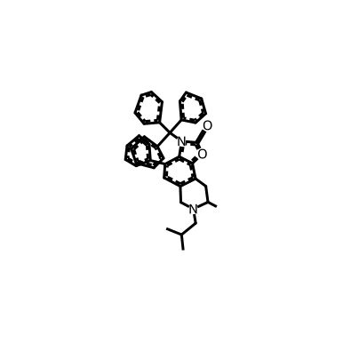 CC(C)CN1Cc2cc(-c3ccccc3)c3c(oc(=O)n3C(c3ccccc3)(c3ccccc3)c3ccccc3)c2CC1C